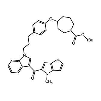 Cn1c(C(=O)c2cn(CCCc3ccc(OC4CCCN(C(=O)OC(C)(C)C)CC4)cc3)c3ccccc23)cc2sccc21